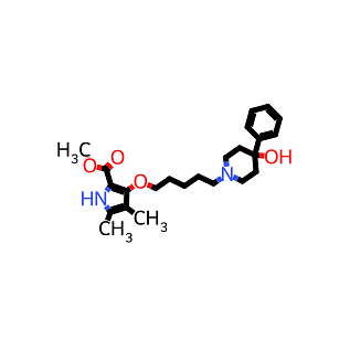 COC(=O)c1[nH]c(C)c(C)c1OCCCCCN1CCC(O)(c2ccccc2)CC1